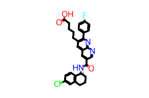 O=C(O)CCCCc1cc2cc(C(=O)N[C@@H]3CCCc4cc(Cl)ccc43)cnc2nc1-c1ccc(F)cc1